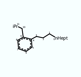 [CH2]CCCCCCCCCc1ccccc1CC(C)C